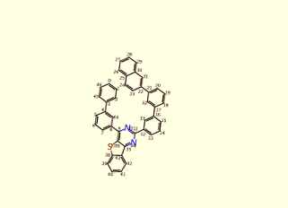 c1ccc(-c2cccc(-c3nc(-c4cccc(-c5cccc(-c6ccc7ccccc7c6)c5)c4)nc4c3sc3ccccc34)c2)cc1